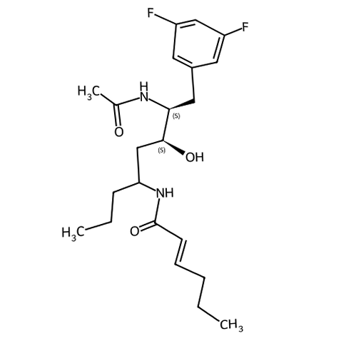 CCCC=CC(=O)NC(CCC)C[C@H](O)[C@H](Cc1cc(F)cc(F)c1)NC(C)=O